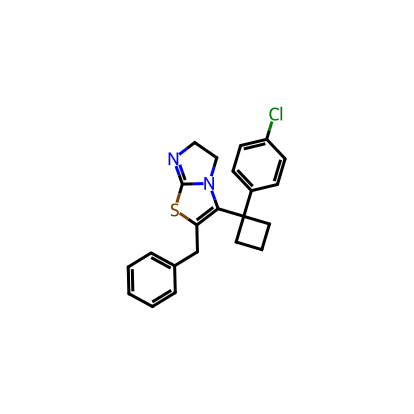 Clc1ccc(C2(C3=C(Cc4ccccc4)SC4=NCCN43)CCC2)cc1